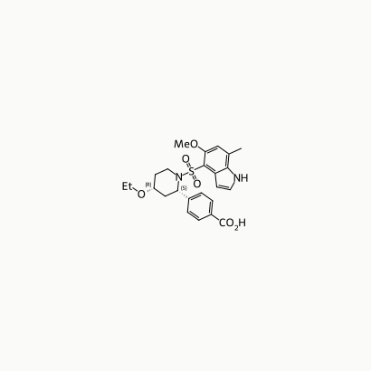 CCO[C@@H]1CCN(S(=O)(=O)c2c(OC)cc(C)c3[nH]ccc23)[C@H](c2ccc(C(=O)O)cc2)C1